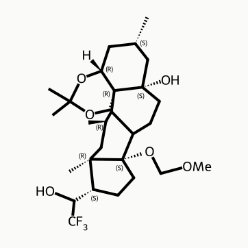 COCO[C@]12CC[C@H](C(O)C(F)(F)F)[C@@]1(C)C[C@@H](C)C1C2CC[C@]2(O)C[C@@H](C)C[C@H]3OC(C)(C)OC[C@]132